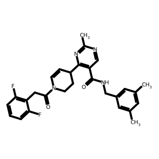 Cc1cc(C)cc(CNC(=O)c2cnc(C)nc2C2C=CN(C(=O)Cc3c(F)cccc3F)CC2)c1